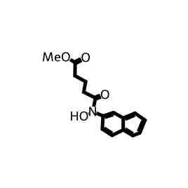 COC(=O)CCCC(=O)N(O)c1ccc2ccccc2c1